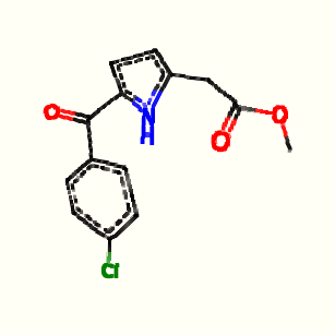 COC(=O)Cc1ccc(C(=O)c2ccc(Cl)cc2)[nH]1